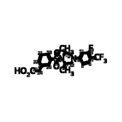 CC1CN(c2ccc(C(F)(F)F)c(F)c2)CC(C)N1S(=O)(=O)c1cccc(CC(=O)O)c1